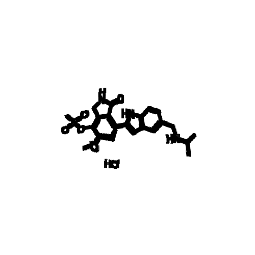 COc1cc(-c2cc3cc(CNC(C)C)ccc3[nH]2)c2c(c1OS(C)(=O)=O)CNC2=O.Cl